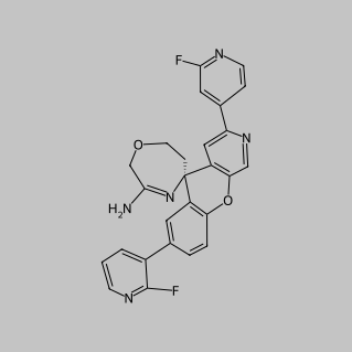 NC1=N[C@]2(CCOC1)c1cc(-c3cccnc3F)ccc1Oc1cnc(-c3ccnc(F)c3)cc12